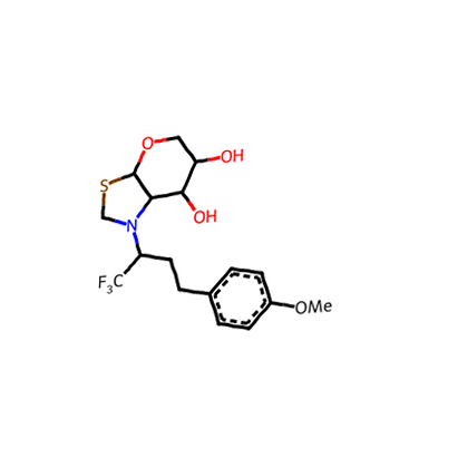 COc1ccc(CCC(N2CSC3OCC(O)C(O)C32)C(F)(F)F)cc1